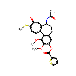 COc1c(OC(=O)c2cccs2)cc2c(c1OC)-c1ccc(SC)c(=O)cc1C(NC(C)=O)CC2